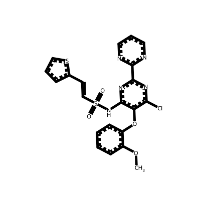 COc1ccccc1Oc1c(Cl)nc(-c2ncccn2)nc1NS(=O)(=O)C=Cc1cccs1